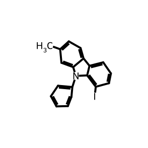 Cc1ccc2c3cccc(I)c3n(-c3ccccc3)c2c1